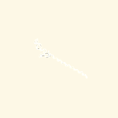 CCCCCCCCCCCCCCCCCCn1ccc(=O)c(OCc2ccc(OC)cc2)c1C